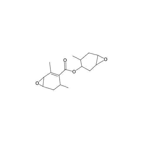 CC1=C(C(=O)OC2CC3OC3CC2C)C(C)CC2OC12